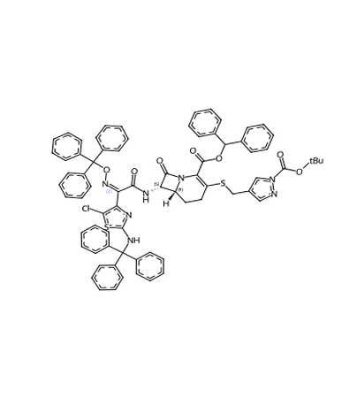 CC(C)(C)OC(=O)n1cc(CSC2=C(C(=O)OC(c3ccccc3)c3ccccc3)N3C(=O)[C@@H](NC(=O)/C(=N\OC(c4ccccc4)(c4ccccc4)c4ccccc4)c4nc(NC(c5ccccc5)(c5ccccc5)c5ccccc5)sc4Cl)[C@H]3CC2)cn1